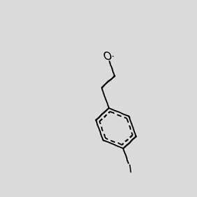 [O]CCc1ccc(I)cc1